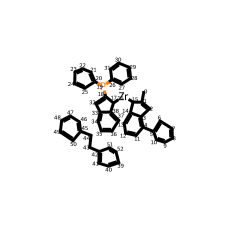 CC1=Cc2c(-c3ccccc3)cccc2[CH]1[Zr][CH]1C(P(c2ccccc2)c2ccccc2)=Cc2ccccc21.c1ccc(CCc2ccccc2)cc1